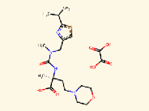 CC(C)c1nc(CN(C)C(=O)N[C@@](C)(CCN2CCOCC2)C(=O)O)cs1.O=C(O)C(=O)O